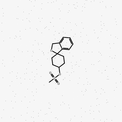 CS(=O)(=O)OC1CCC2(CC1)OCc1ccccc12